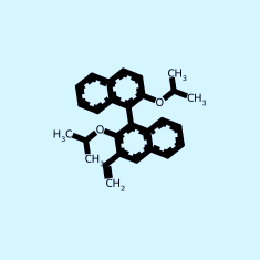 C=Cc1cc2ccccc2c(-c2c(OC(C)C)ccc3ccccc23)c1OC(C)C